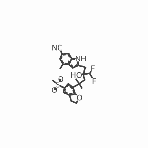 Cc1cc(C#N)cc2[nH]c(CC(O)(CC(C)(C)c3cc(S(C)(=O)=O)cc4c3OCC4)C(F)F)cc12